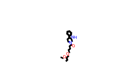 C/C=C(/COCCCCC(=O)N1CCc2c([nH]c3ccccc23)C1)OCC